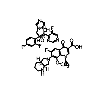 COc1c(N2C[C@@H]3CCCN[C@@H]3C2)c(F)cc2c(=O)c(C(=O)O)cn(C3CC3)c12.C[C@@H](c1ncncc1F)[C@](O)(Cn1cncn1)c1ccc(F)cc1F